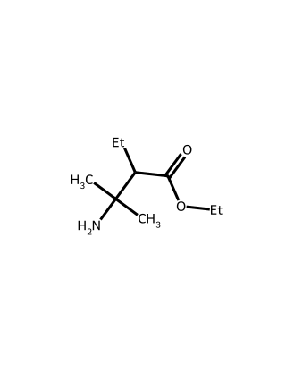 CCOC(=O)C(CC)C(C)(C)N